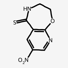 O=[N+]([O-])c1cnc2c(c1)C(=S)NCCO2